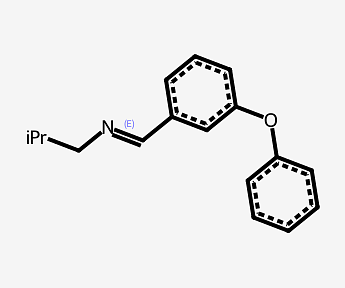 CC(C)C/N=C/c1cccc(Oc2ccccc2)c1